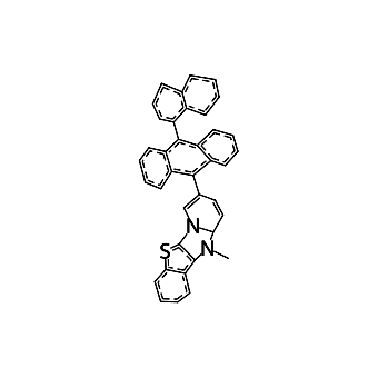 CN1c2c(sc3ccccc23)N2C=C(c3c4ccccc4c(-c4cccc5ccccc45)c4ccccc34)C=CC12